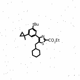 CCOC(=O)c1nc(-c2cc(C(C)(C)C)cc(C3(C)CC3)c2)c(CC2CCCCC2)s1